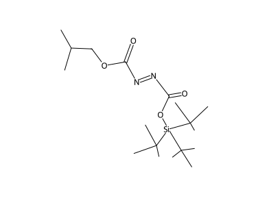 CC(C)COC(=O)N=NC(=O)O[Si](C(C)(C)C)(C(C)(C)C)C(C)(C)C